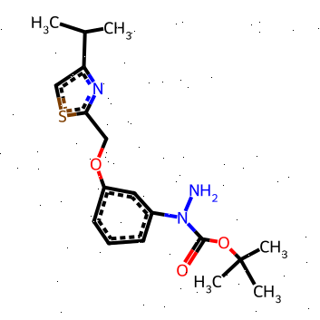 CC(C)c1csc(COc2cccc(N(N)C(=O)OC(C)(C)C)c2)n1